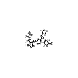 O=C(OC(=O)C(F)(F)F)c1[nH]nnc1Oc1ccc(-c2ccc(Cl)cc2)c(OCC2CCCC2)c1